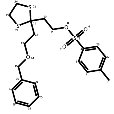 Cc1ccc(S(=O)(=O)OCCC2(CCOCc3ccccc3)SCCS2)cc1